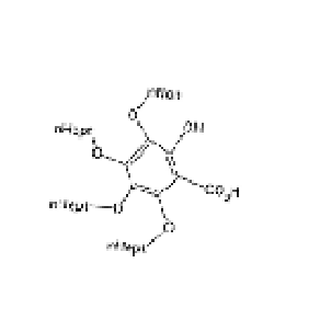 CCCCCCCCCOc1c(O)c(C(=O)O)c(OCCCCCCC)c(OCCCCCCC)c1OCCCCCCC